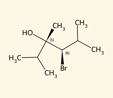 CC(C)[C@@H](Br)[C@@](C)(O)C(C)C